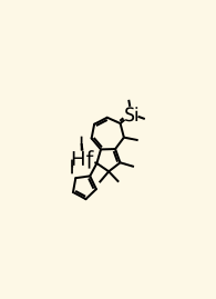 CC1=C2C(=CC=CC(=[Si](C)C)C2C)[C](C2=CC=CC2)([Hf]([I])[I])C1(C)C